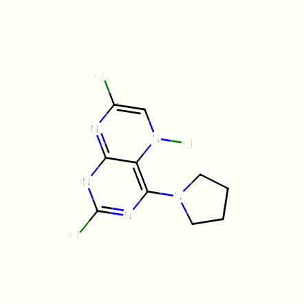 ClC1=CN(Cl)C2=C(N3CCCC3)N=C(Cl)NC2=N1